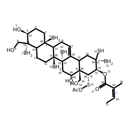 B[C@]12CC[C@H](O)[C@](B)(CO)C1CC[C@]1(B)C2CC=C2C3C[C@@](B)(S)[C@@H](OC(=O)/C(C)=C\C)[C@H](SOC(C)=O)[C@]3(CO)[C@H](O)C[C@]21B